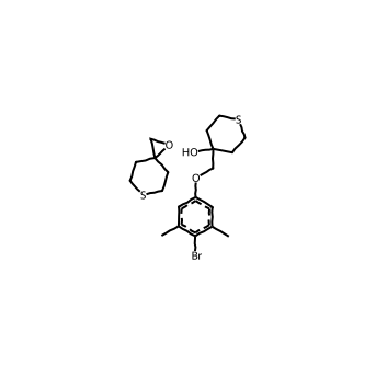 C1CC2(CCS1)CO2.Cc1cc(OCC2(O)CCSCC2)cc(C)c1Br